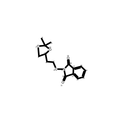 CC1(C)OCC(CCON2C(=O)c3ccccc3C2=O)O1